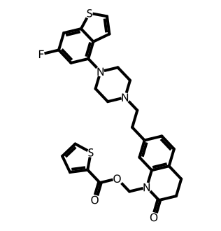 O=C(OCN1C(=O)CCc2ccc(CCN3CCN(c4cc(F)cc5sccc45)CC3)cc21)c1cccs1